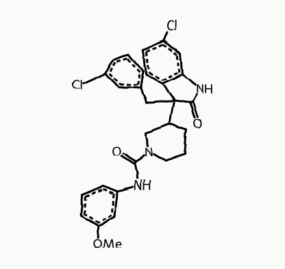 COc1cccc(NC(=O)N2CCCC(C3(Cc4cccc(Cl)c4)C(=O)Nc4cc(Cl)ccc43)C2)c1